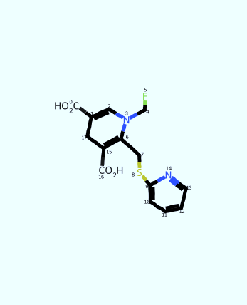 O=C(O)C1=CN(CF)C(CSc2ccccn2)=C(C(=O)O)C1